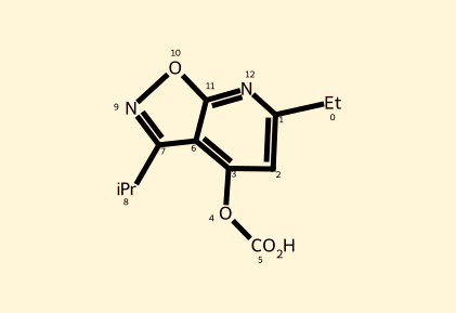 CCc1cc(OC(=O)O)c2c(C(C)C)noc2n1